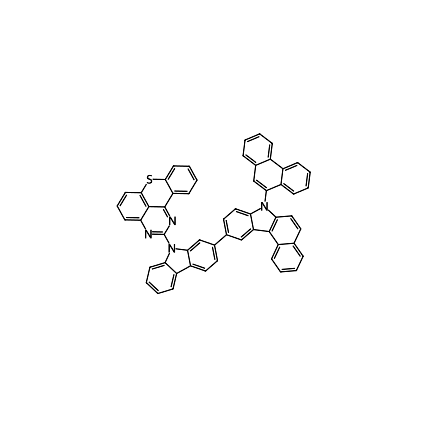 c1ccc2c(c1)Sc1cccc3nc(-n4c5ccccc5c5ccc(-c6ccc7c(c6)c6c8ccccc8ccc6n7-c6cc7ccccc7c7ccccc67)cc54)nc-2c13